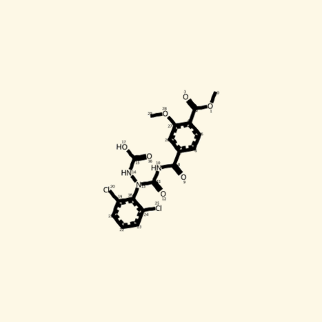 COC(=O)c1ccc(C(=O)NC(=O)N(NC(=O)O)c2c(Cl)cccc2Cl)cc1OC